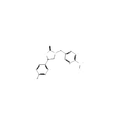 O=C1OC(c2ccc(Cl)cc2)CN1Cc1ccc(OC(F)(F)F)cc1